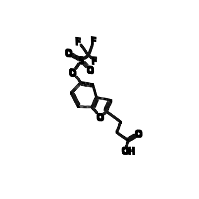 O=C(O)CCc1cc2cc(OS(=O)(=O)C(F)(F)F)ccc2o1